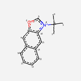 CC(C)(C)[n+]1coc2cc3ccccc3cc21